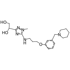 Cn1nc(C(O)CO)nc1NCCCOc1cccc(CN2CCCCC2)c1